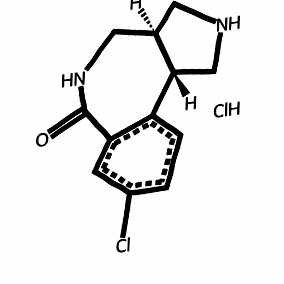 Cl.O=C1NC[C@H]2CNC[C@@H]2c2ccc(Cl)cc21